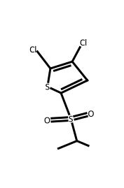 CC(C)S(=O)(=O)c1cc(Cl)c(Cl)s1